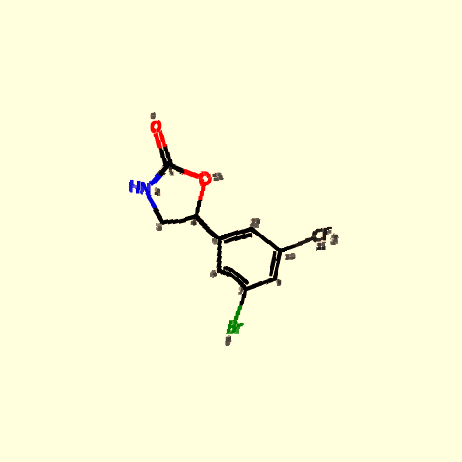 O=C1NCC(c2cc(Br)cc(C(F)(F)F)c2)O1